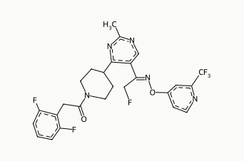 Cc1ncc(/C(CF)=N/Oc2ccnc(C(F)(F)F)c2)c(C2CCN(C(=O)Cc3c(F)cccc3F)CC2)n1